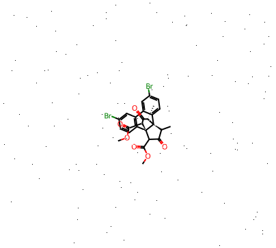 COC(=O)C1C(=O)C(C)[C@@]23c4ccc(Br)cc4-c4cc(Br)ccc4[C@@]12C(C(=O)OC)C(=O)[C@@H]3C